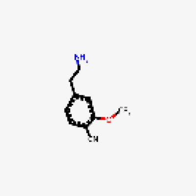 N#Cc1ccc(CCN)cc1OC(F)(F)F